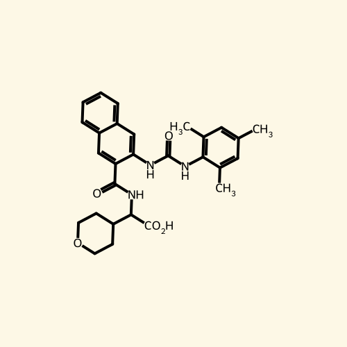 Cc1cc(C)c(NC(=O)Nc2cc3ccccc3cc2C(=O)NC(C(=O)O)C2CCOCC2)c(C)c1